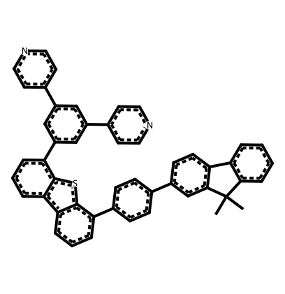 CC1(C)c2ccccc2-c2ccc(-c3ccc(-c4cccc5c4sc4c(-c6cc(-c7ccncc7)cc(-c7ccncc7)c6)cccc45)cc3)cc21